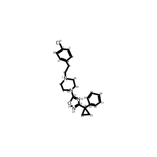 Clc1ccc(CCN2CCN(c3nc(C4(c5ccccc5)CC4)no3)CC2)cc1